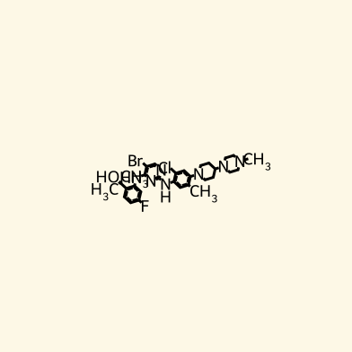 Cc1cc(Nc2ncc(Br)c(Nc3cc(F)ccc3C(C)(C)O)n2)c(Cl)cc1N1CCC(N2CCN(C)CC2)CC1